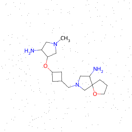 CN1CC(N)C(OC2CC(CN3CC(N)C4(CCCO4)C3)C2)C1